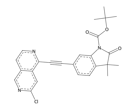 CC(C)(C)OC(=O)N1C(=O)C(C)(C)c2ccc(C#Cc3nccc4cnc(Cl)cc34)cc21